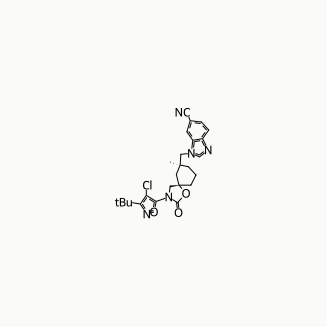 CC(C)(C)c1noc(N2C[C@@]3(CCC[C@](C)(Cn4cnc5ccc(C#N)cc54)C3)OC2=O)c1Cl